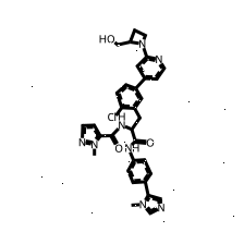 Cn1cncc1-c1ccc(NC(=O)C(Cc2cc(-c3ccnc(N4CCC4CO)c3)ccc2Cl)NC(=O)c2ccnn2C)cc1